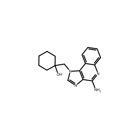 Nc1nc2ccccc2c2c1ncn2CC1(O)CCCCC1